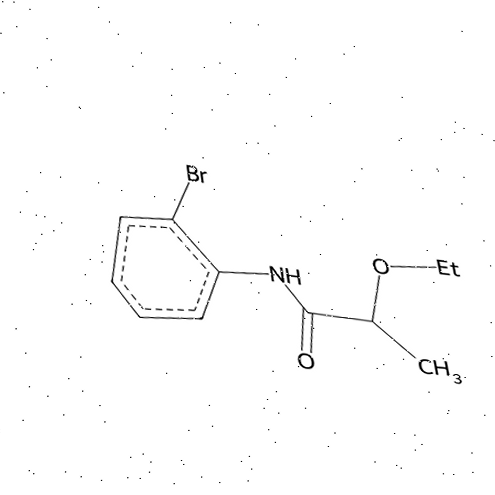 CCOC(C)C(=O)Nc1ccccc1Br